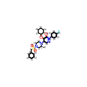 C[C@H]1CN(S(=O)(=O)Cc2ccccc2)CCN1c1cnn(-c2ccc(F)cc2)c(=O)c1OC1CCCCC1